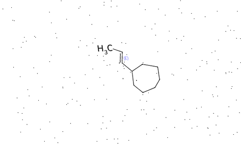 C/C=[C]/C1CCCCCC1